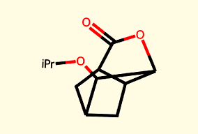 CC(C)OC1C2CC3C(=O)OC1C3C2